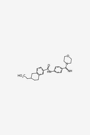 N=C(c1ccc(NC(=O)c2ccc3c(c2)CCC(CC(=O)O)C3)cc1)N1CCOCC1